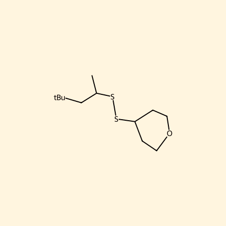 CC(CC(C)(C)C)SSC1CCOCC1